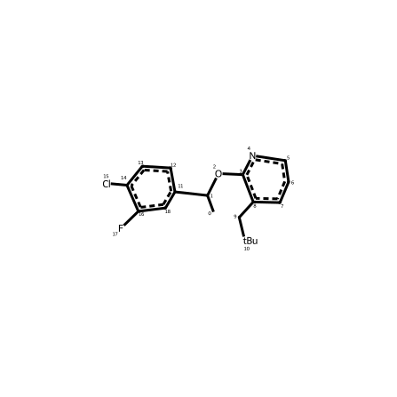 CC(Oc1ncccc1CC(C)(C)C)c1ccc(Cl)c(F)c1